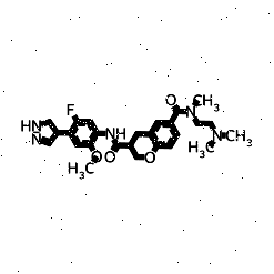 COc1cc(C2C=NNC2)c(F)cc1NC(=O)C1COc2ccc(C(=O)N(C)CCN(C)C)cc2C1